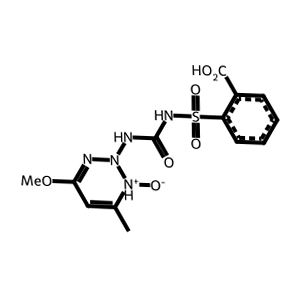 COC1=NN(NC(=O)NS(=O)(=O)c2ccccc2C(=O)O)[NH+]([O-])C(C)=C1